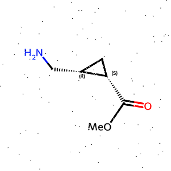 COC(=O)[C@H]1C[C@H]1CN